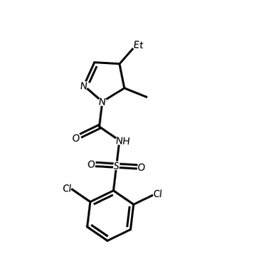 CCC1C=NN(C(=O)NS(=O)(=O)c2c(Cl)cccc2Cl)C1C